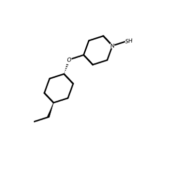 CC[C@H]1CC[C@H](OC2CCN(S)CC2)CC1